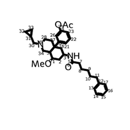 COC1CC(NC(=O)CCCCCc2ccccc2)CC2(c3cccc(OC(C)=O)c3)CCN(CC3CC3)CC12